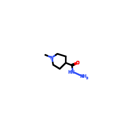 CN1CCC(C(=O)NN)CC1